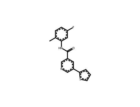 Cc1ccc(F)cc1NC(=O)c1cncc(-c2cccs2)c1